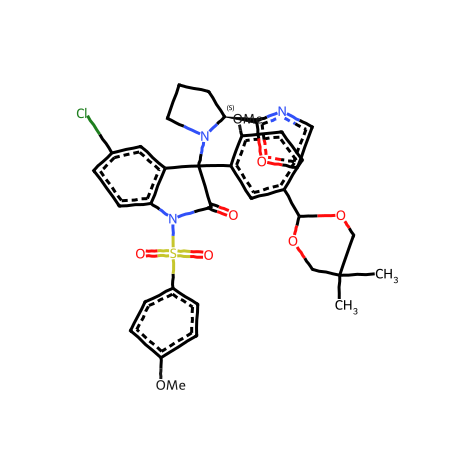 COc1ccc(S(=O)(=O)N2C(=O)C(c3cc(C4OCC(C)(C)CO4)ccc3OC)(N3CCC[C@H]3c3ncco3)c3cc(Cl)ccc32)cc1